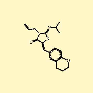 C=CCN1C(=O)/C(=C/c2ccc3c(c2)CCCO3)S/C1=N\C(C)C